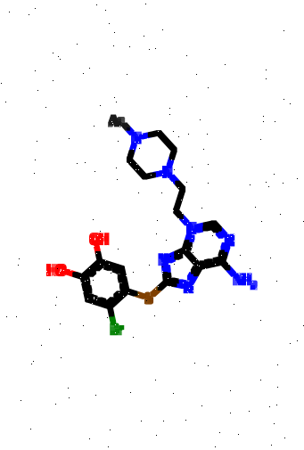 CC(=O)N1CCN(CCn2cnc(N)c3nc(Sc4cc(O)c(O)cc4Br)nc2-3)CC1